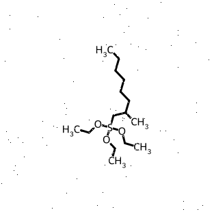 CCCCCCC(C)CS(OCC)(OCC)OCC